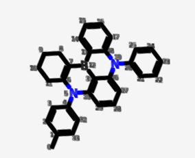 Cc1ccc(N2C3=C(CCCC3)B3c4ccccc4N(c4ccccc4)c4cccc2c43)cc1